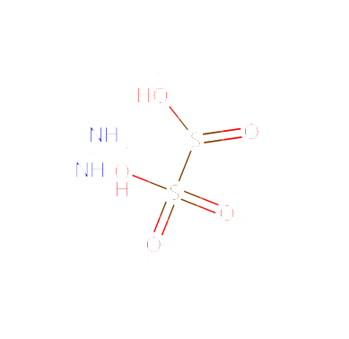 N.N.O=S(O)S(=O)(=O)O